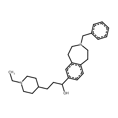 CCN1CCC(CCC(O)c2ccc3c(c2)CCN(Cc2ccccc2)CC3)CC1